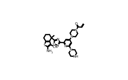 C=CC(=O)N1CCN(c2cc(-c3noc(C4(C)CCCc5sc(N)c(C#N)c54)n3)nc(N3CCNCC3)c2)CC1